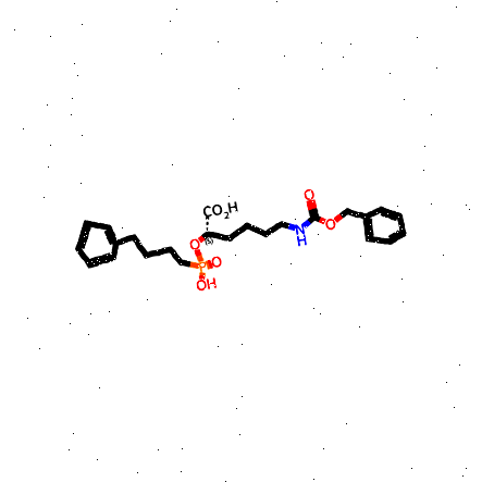 O=C(NCCCC[C@H](OP(=O)(O)CCCCc1ccccc1)C(=O)O)OCc1ccccc1